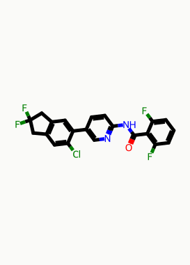 O=C(Nc1ccc(-c2cc3c(cc2Cl)CC(F)(F)C3)cn1)c1c(F)cccc1F